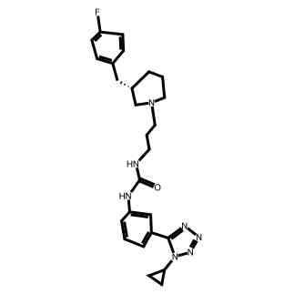 O=C(NCCCN1CCC[C@@H](Cc2ccc(F)cc2)C1)Nc1cccc(-c2nnnn2C2CC2)c1